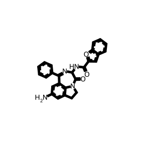 Nc1cc2c3c(c1)C(c1ccccc1)=NC(NC(=O)c1cc4ccccc4o1)C(=O)N3CC2